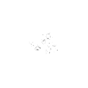 CNC(=O)C1=C(NC(=O)c2cc(Cn3nnnc3C(F)(F)C(F)(F)F)nn2-c2ncccc2Cl)C(C)=CC(Cl)C1